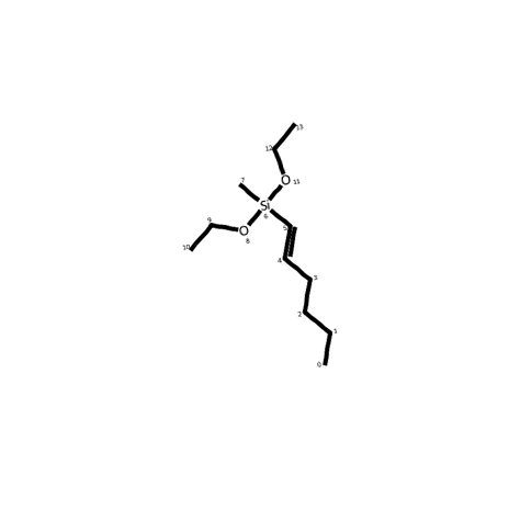 CCCC/C=C/[Si](C)(OCC)OCC